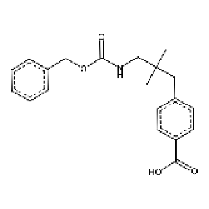 CC(C)(CNC(=O)OCc1ccccc1)Cc1ccc(C(=O)O)cc1